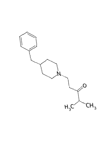 CC(C)C(=O)CCN1CCC(Cc2ccccc2)CC1